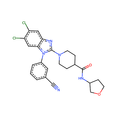 N#Cc1cccc(-n2c(N3CCC(C(=O)NC4CCOC4)CC3)nc3cc(Cl)c(Cl)cc32)c1